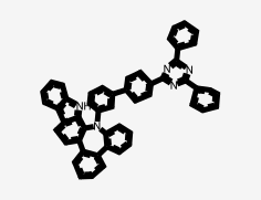 c1ccc(-c2nc(-c3ccccc3)nc(-c3ccc(-c4cccc(N5c6ccccc6-c6ccccc6-c6ccc7c([nH]c8ccccc87)c65)c4)cc3)n2)cc1